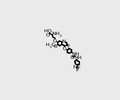 COc1cc2c(Oc3ccc(NC(=O)Nc4ccc(C(F)(F)F)cc4)cc3F)ccnc2cc1OCCC(N)C(=O)O